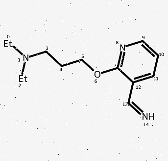 CCN(CC)CCCOc1ncccc1[C]=N